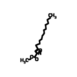 CCCCCCCCCCCCCc1cc(C(=O)OCC)no1